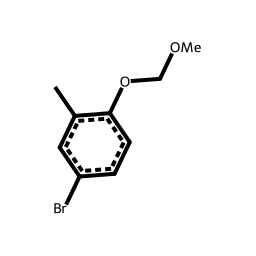 COCOc1ccc(Br)cc1C